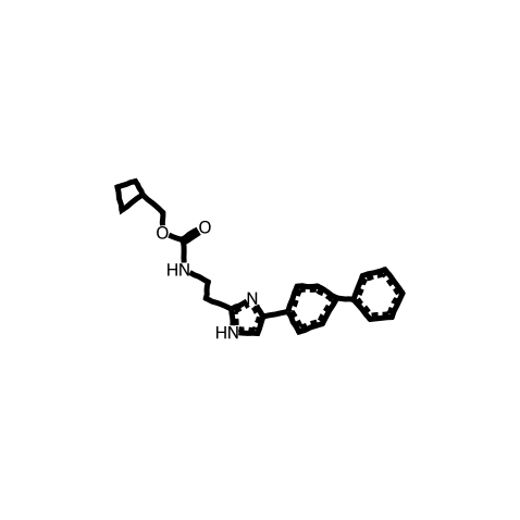 O=C(NCCc1nc(-c2ccc(-c3ccccc3)cc2)c[nH]1)OCC1CCC1